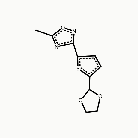 Cc1nc(-c2ccc(C3OCCO3)s2)no1